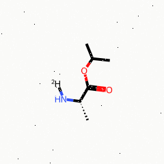 [2H]N[C@@H](C)C(=O)OC(C)C